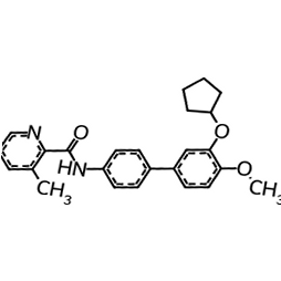 COc1ccc(-c2ccc(NC(=O)c3ncccc3C)cc2)cc1OC1CCCC1